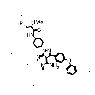 C=N/C(N)=C1/C(c2ccc(Oc3ccccc3)cc2)=NN([C@H]2CC[C@@H](NC(=O)[C@H](CC(C)C)NC)CC2)/C1=N/C